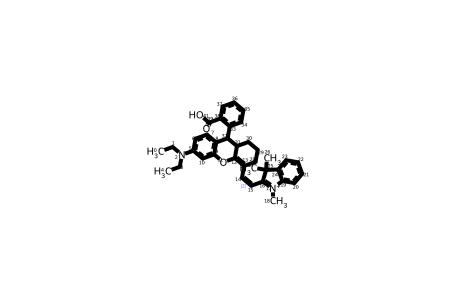 CCN(CC)c1ccc2c(c1)OC1=C(/C=C\C3=[N+](C)c4ccccc4C3(C)C)CCCC1C2c1ccccc1C(=O)O